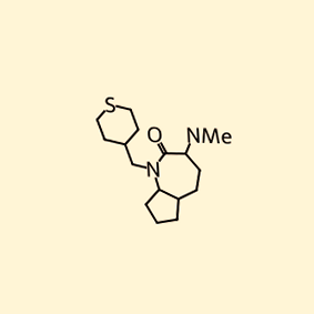 CNC1CCC2CCCC2N(CC2CCSCC2)C1=O